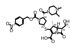 CC1CN(C(=O)[C@@H]2C[C@H](SC3=C(C(=O)O)N4C(=O)[C@H]([C@@H](C)O)[C@H]4[C@H]3C)CN2C(=O)OCc2ccc([N+](=O)[O-])cc2)CCN1C